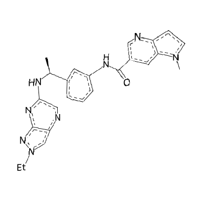 CCn1cc2ncc(N[C@@H](C)c3cccc(NC(=O)c4cnc5ccn(C)c5c4)c3)nc2n1